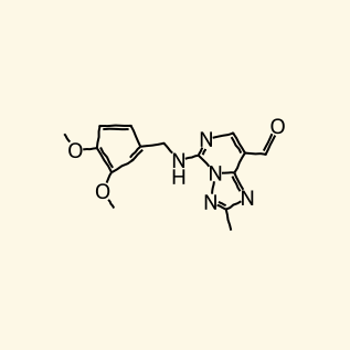 COc1ccc(CNc2ncc(C=O)c3nc(C)nn23)cc1OC